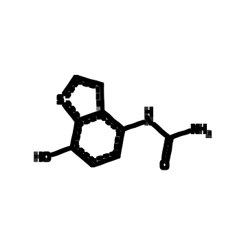 NC(=O)Nc1ccc(O)c2sccc12